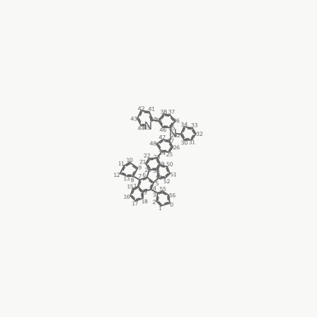 c1ccc(-c2c3c(c(-c4ccccc4)c4ccccc24)-c2ccc(-c4ccc(N(c5ccccc5)c5cccc(-c6ccccn6)c5)cc4)c4cccc-3c24)cc1